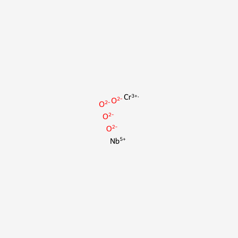 [Cr+3].[Nb+5].[O-2].[O-2].[O-2].[O-2]